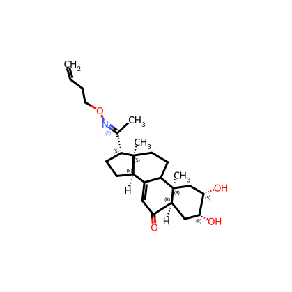 C=CCCO/N=C(\C)[C@H]1CC[C@@H]2C3=CC(=O)[C@@H]4C[C@@H](O)[C@@H](O)C[C@]4(C)C3CC[C@@]21C